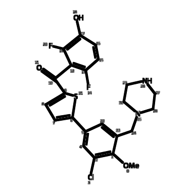 COc1c(Cl)cc(-c2ccc(C(=O)c3c(F)ccc(O)c3F)s2)cc1CN1CCNCC1